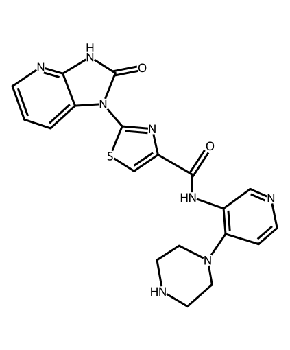 O=C(Nc1cnccc1N1CCNCC1)c1csc(-n2c(=O)[nH]c3ncccc32)n1